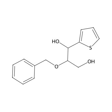 OCC(OCc1ccccc1)C(O)c1cccs1